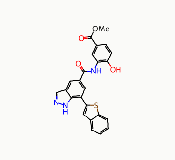 COC(=O)c1ccc(O)c(NC(=O)c2cc(-c3cc4ccccc4s3)c3[nH]ncc3c2)c1